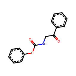 O=C(NCC(=O)c1ccccc1)Oc1ccccc1